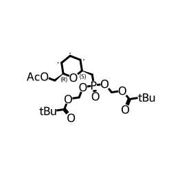 CC(=O)OC[C@H]1[CH][CH][CH][C@@H](CP(=O)(OCOC(=O)C(C)(C)C)OCOC(=O)C(C)(C)C)O1